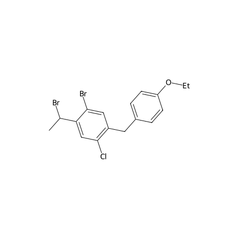 CCOc1ccc(Cc2cc(Br)c(C(C)Br)cc2Cl)cc1